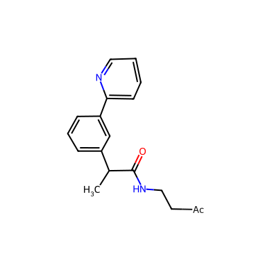 CC(=O)CCNC(=O)C(C)c1cccc(-c2ccccn2)c1